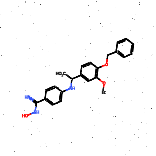 CCOc1cc(C(Nc2ccc(C(=N)NO)cc2)C(=O)O)ccc1OCc1ccccc1